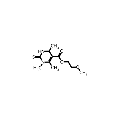 COCCOC(=O)C1=C(C)N(C)C(=S)NC1C